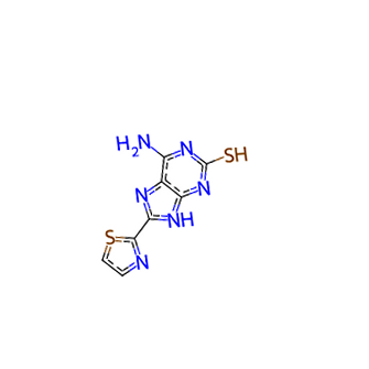 Nc1nc(S)nc2[nH]c(-c3nccs3)nc12